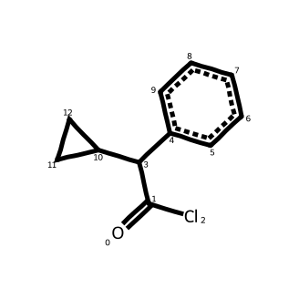 O=C(Cl)C(c1ccccc1)C1CC1